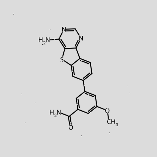 COc1cc(C(N)=O)cc(-c2ccc3c(c2)sc2c(N)ncnc23)c1